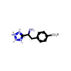 NC(Cc1ccc(C(=O)O)cc1)c1nn[nH]n1